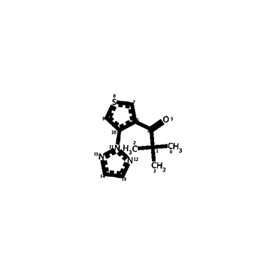 CC(C)(C)C(=O)c1cscc1-n1nccn1